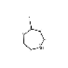 IC1CCCNCC1